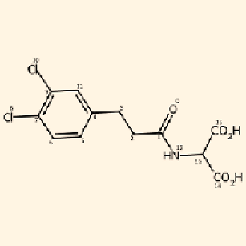 O=C(CCc1ccc(Cl)c(Cl)c1)NC(C(=O)O)C(=O)O